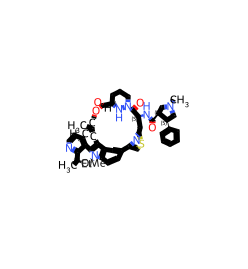 CCn1c(-c2cccnc2[C@H](C)OC)c2c3cc(ccc31)-c1csc(n1)C[C@H](NC(=O)[C@H]1CN(C)C[C@@H]1c1ccccc1)C(=O)N1CCC[C@H](N1)C(=O)OCC(C)(C)C2